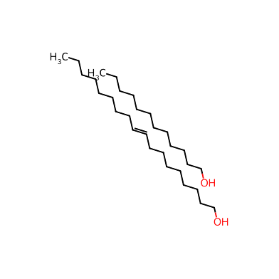 CCCCCCCCC=CCCCCCCCCO.CCCCCCCCCCCCO